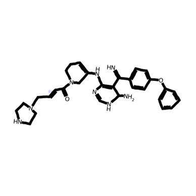 N=C(C1=C(NC2=CCCN(C(=O)/C=C/CN3CCNCC3)C2)N=CNC1N)c1ccc(Oc2ccccc2)cc1